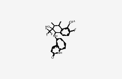 CC1c2c(ccc(F)c2O)C(Nc2cccc3[nH]c(=O)ccc23)C(O)(C(F)(F)F)C1C